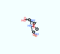 Cc1cc(C)cc(-c2[nH]c3ccc(C(C)(C)C(=O)O)cc3c2CCNC(CCCc2ccc(NS(C)(=O)=O)cc2)C(=O)OCc2ccccc2)c1